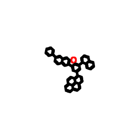 c1ccc(-c2ccc3cc4c(cc3c2)oc2c(-c3cccc5ccccc35)cc(-c3ccc5ccc6cccc7ccc3c5c67)cc24)cc1